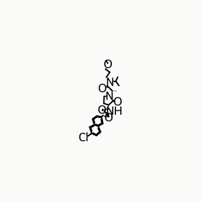 COCCCN(C(=O)[C@H](C)N1CC[C@H](NS(=O)(=O)c2ccc3cc(Cl)ccc3c2)C1=O)C(C)C